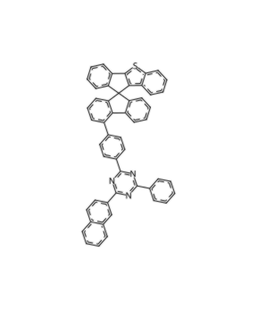 c1ccc(-c2nc(-c3ccc(-c4cccc5c4-c4ccccc4C54c5ccccc5-c5sc6ccccc6c54)cc3)nc(-c3ccc4ccccc4c3)n2)cc1